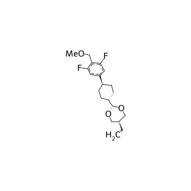 C=C[C@H]1CO[C@H]([C@H]2CC[C@H](c3cc(F)c(COC)c(F)c3)CC2)OC1